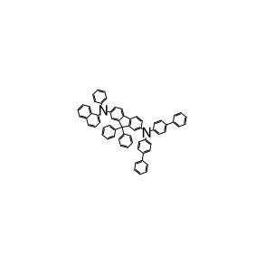 c1ccc(-c2ccc(N(c3ccc(-c4ccccc4)cc3)c3ccc4c(c3)C(c3ccccc3)(c3ccccc3)c3cc(N(c5ccccc5)c5cccc6ccccc56)ccc3-4)cc2)cc1